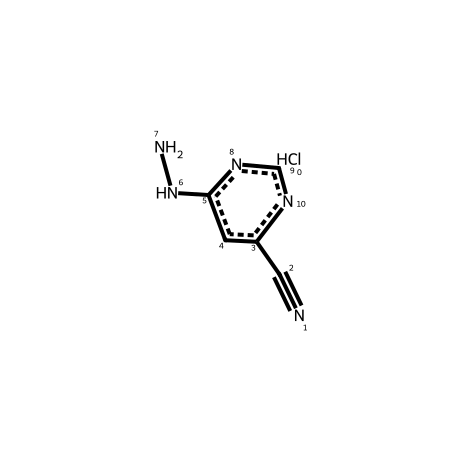 Cl.N#Cc1cc(NN)ncn1